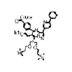 CCOC=Cc1c(-c2ccc(C(=O)OC)cc2)nc2c(-c3ccc(-c4ccccc4)nc3)cnn2c1N(COCC[Si](C)(C)C)COCC[Si](C)(C)C